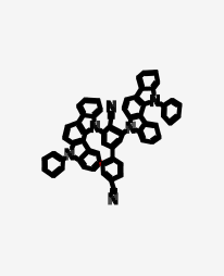 N#Cc1ccc(-c2cc(-n3c4ccccc4c4c3ccc3c5ccccc5n(-c5ccccc5)c34)c(C#N)c(-n3c4ccccc4c4ccc5c(c6ccccc6n5-c5ccccc5)c43)c2)cc1